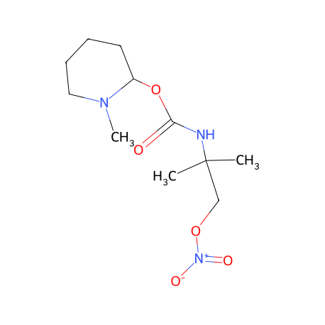 CN1CCCCC1OC(=O)NC(C)(C)CO[N+](=O)[O-]